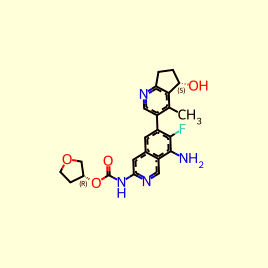 Cc1c(-c2cc3cc(NC(=O)O[C@@H]4CCOC4)ncc3c(N)c2F)cnc2c1[C@@H](O)CC2